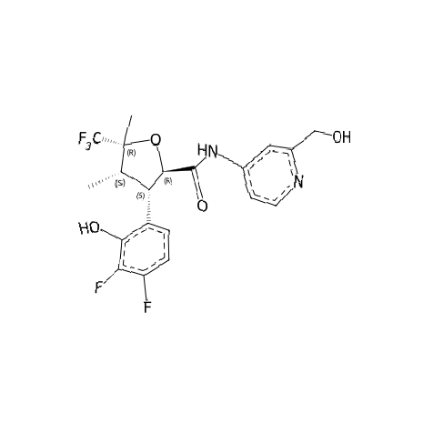 C[C@H]1[C@@H](c2ccc(F)c(F)c2O)[C@H](C(=O)Nc2ccnc(CO)c2)O[C@@]1(C)C(F)(F)F